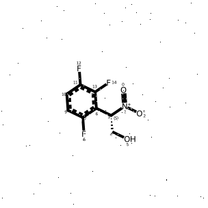 O=[N+]([O-])[C@H](CO)c1c(F)ccc(F)c1F